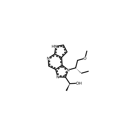 CC[C@@H](COC)n1c([C@H](C)O)nc2cnc3[nH]ccc3c21